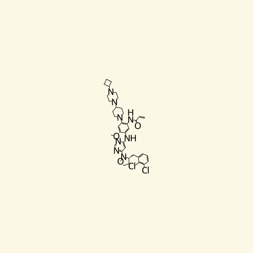 C=CC(=O)Nc1cc(Nc2cc(N3OCC[C@@H]3Cc3cccc(Cl)c3Cl)ncn2)c(OC)cc1N1CCC(N2CCN(C3CCC3)CC2)CC1